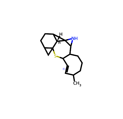 CC1/C=C/C2SC34CC3CCC3[C@@H]4C34NC4C2CCC1